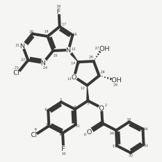 O=C(OC(c1ccc(Cl)c(F)c1)[C@H]1O[C@@H](n2cc(F)c3cnc(Cl)nc32)[C@H](O)[C@@H]1O)c1ccccc1